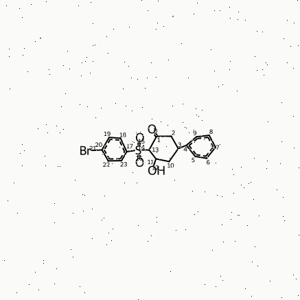 O=C1CC(c2ccccc2)CC(O)C1S(=O)(=O)c1ccc(Br)cc1